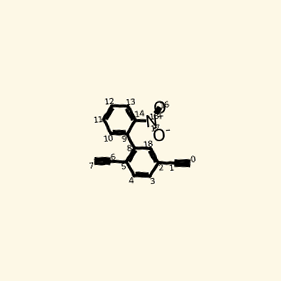 C#Cc1ccc(C#C)c(-c2ccccc2[N+](=O)[O-])c1